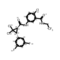 O=C(NCC(F)(F)F)c1cc(NC(=O)[C@H]2[C@H](c3cc(F)cc(F)c3)C2(Cl)Cl)ccc1Cl